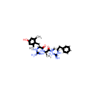 Cc1cc(O)cc(C)c1C[C@H](NC(=N)N)C(=O)N[C@H](C)C(=O)NC[C@H](Cc1ccccc1)NC(=N)N